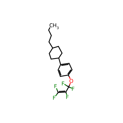 CCCCC1CCC(c2ccc(OC(F)(F)C(F)=C(F)F)cc2)CC1